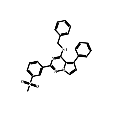 CS(=O)(=O)c1cccc(-c2nc(NCc3ccccc3)c3c(-c4ccccc4)ccn3n2)c1